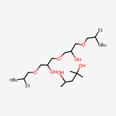 CC(O)CC(C)(C)O.CCCCC(CC)COCC(O)COCC(O)COCC(CC)CCCC